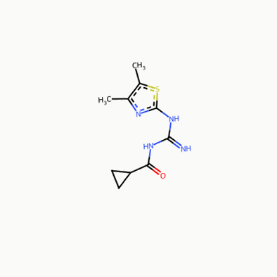 Cc1nc(NC(=N)NC(=O)C2CC2)sc1C